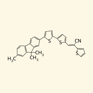 Cc1ccc2c(c1)C(C)(C)c1cc(-c3ccc(-c4ccc(/C=C(\C#N)c5cccs5)s4)s3)ccc1-2